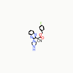 N#CC(C(=O)OCc1ccc(F)cc1)c1nc2ccccc2nc1N1CCNCC1